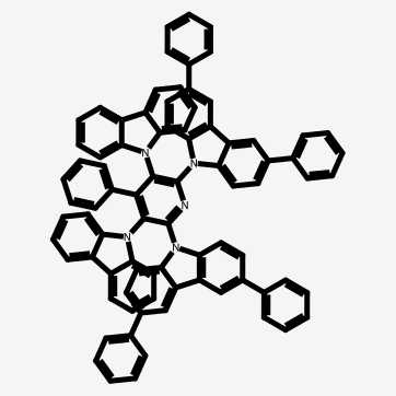 c1ccc(-c2ccc3c(c2)c2cc(-c4ccccc4)ccc2n3-c2nc(-n3c4ccc(-c5ccccc5)cc4c4cc(-c5ccccc5)ccc43)c(-n3c4ccccc4c4ccccc43)c(-c3ccccc3)c2-n2c3ccccc3c3ccccc32)cc1